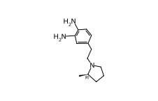 C[C@@H]1CCCN1CCc1ccc(N)c(N)c1